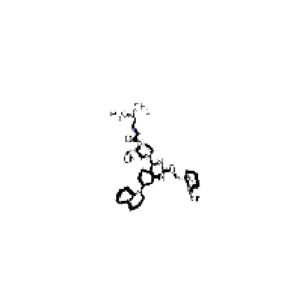 CCN1CCC[C@H]1COc1nc2c(c(N3CCN(C(=O)/C=C/CN(C)C)[C@@H](CC#N)C3)n1)CCC(N1CCCc3ccccc31)C2